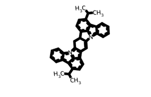 CC(C)c1ccc2c3c1c1ccccc1n3C1=Cc3c(n4c5ccccc5c5c(C(C)C)ccc3c54)CC12